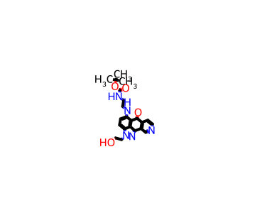 CC(C)(C)OC(=O)NCCNc1ccc2c3c(nn2CCO)-c2cnccc2C(=O)c13